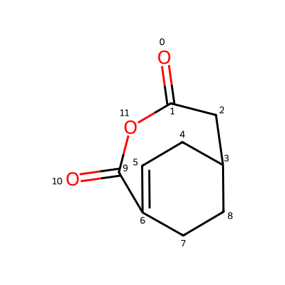 O=C1CC2CC=C(CC2)C(=O)O1